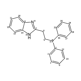 c1ccc(P(CCc2nc3ccccc3[nH]2)c2ccccc2)cc1